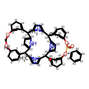 C[C@]12C3=C[C@@H](CC=C3)OCOC3=CC(=CCC3)[C@](C)(c3ccc1[nH]3)c1ccc([nH]1)[C@@]1(C)c3cccc(c3)O[P@@](=O)(c3ccccc3)OC3=CC(=CCC3)[C@@](C)(c3ccc2[nH]3)c2ccc1[nH]2